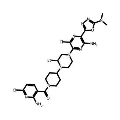 CC[C@H]1CN(c2nc(N)c(-c3nnc(N(C)C)o3)nc2Cl)CCN1C1CCN(C(=O)c2ccc(Cl)nc2N)CC1